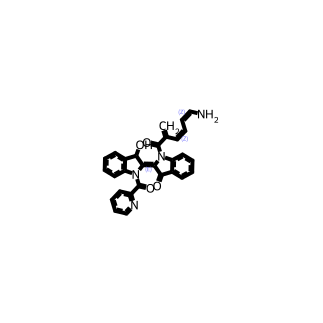 C=C(/C=C\C=C/N)C(=O)N1/C(=C2\C(O)c3ccccc3N2C(=O)c2ccccn2)C(=O)c2ccccc21